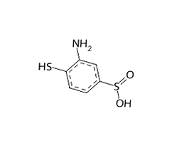 Nc1cc(S(=O)O)ccc1S